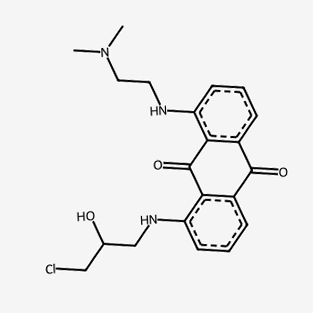 CN(C)CCNc1cccc2c1C(=O)c1c(NCC(O)CCl)cccc1C2=O